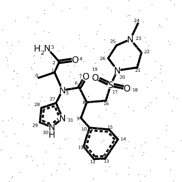 CC(C(N)=O)N(C(=O)C(Cc1ccccc1)CS(=O)(=O)N1CCN(C)CC1)c1cc[nH]n1